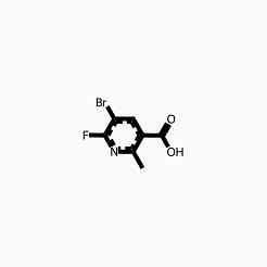 Cc1nc(F)c(Br)cc1C(=O)O